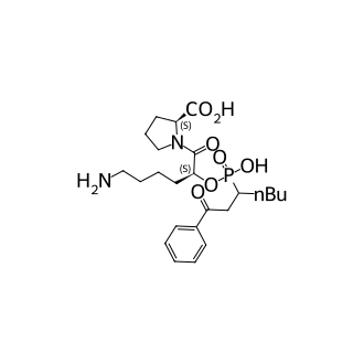 CCCCC(CC(=O)c1ccccc1)P(=O)(O)O[C@@H](CCCCN)C(=O)N1CCC[C@H]1C(=O)O